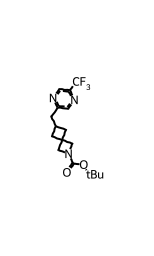 CC(C)(C)OC(=O)N1CC2(CC(Cc3cnc(C(F)(F)F)cn3)C2)C1